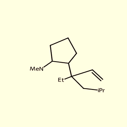 C=CC(CC)(CC(C)C)C1CCCC1NC